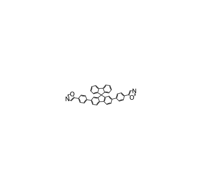 c1ccc2c(c1)-c1ccccc1C21c2cc(-c3ccc(-c4cnco4)cc3)ccc2-c2ccc(-c3ccc(-c4cnco4)cc3)cc21